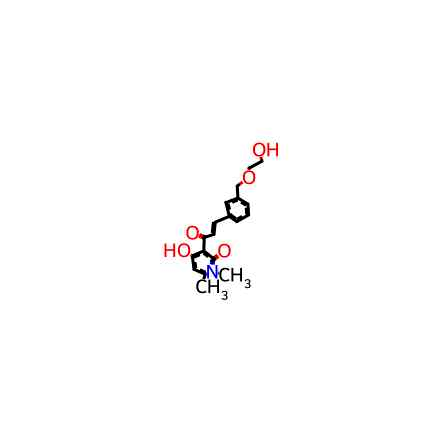 Cc1cc(O)c(C(=O)C=Cc2cccc(COCCO)c2)c(=O)n1C